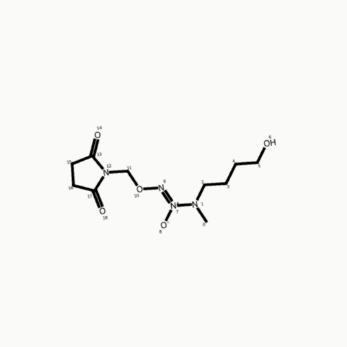 CN(CCCCO)[N+]([O-])=NOCN1C(=O)CCC1=O